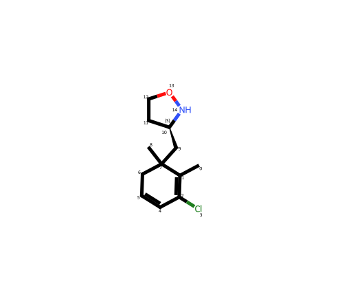 CC1=C(Cl)C=CCC1(C)C[C@H]1CCON1